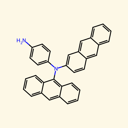 Nc1ccc(N(c2ccc3cc4ccccc4cc3c2)c2c3ccccc3cc3ccccc23)cc1